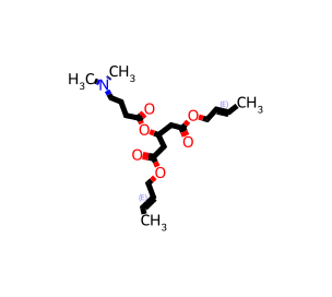 C/C=C/COC(=O)CC(CC(=O)OC/C=C/C)OC(=O)CCCN(C)C